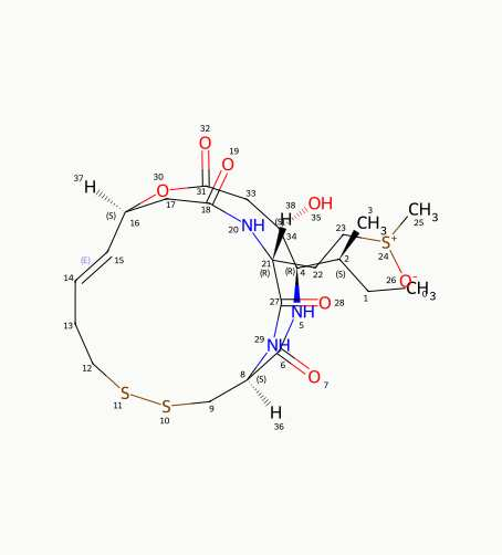 CC[C@H](C)[C@H]1NC(=O)[C@H]2CSSCC/C=C/[C@H](CC(=O)N[C@H](CC[S+](C)[O-])C(=O)N2)OC(=O)C[C@@H]1O